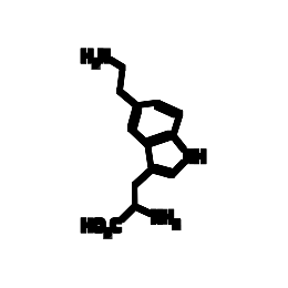 NCCc1ccc2[nH]cc(CC(N)C(=O)O)c2c1